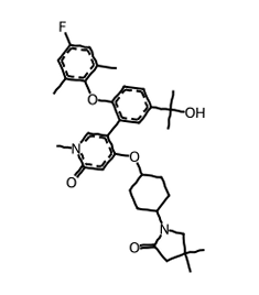 Cc1cc(F)cc(C)c1Oc1ccc(C(C)(C)O)cc1-c1cn(C)c(=O)cc1OC1CCC(N2CC(C)(C)CC2=O)CC1